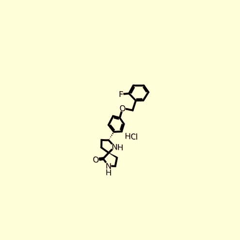 Cl.O=C1NCC[C@]12CC[C@H](c1ccc(OCc3ccccc3F)cc1)N2